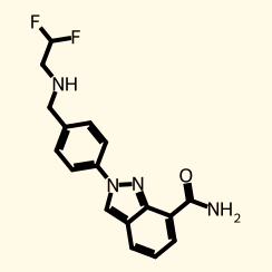 NC(=O)c1cccc2cn(-c3ccc(CNCC(F)F)cc3)nc12